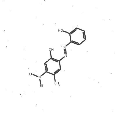 CCN(CC)c1cc(O)c(/N=N/c2ccccc2O)cc1C